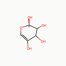 OC1=CO[C@@H](O)C(O)C1O